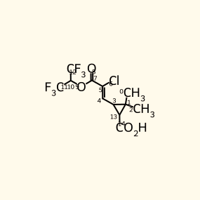 CC1(C)C(C=C(Cl)C(=O)OC(C(F)(F)F)C(F)(F)F)C1C(=O)O